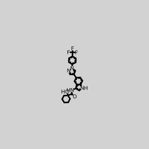 O=C(Nc1c[nH]c2ccc(-c3cnn(-c4ccc(C(F)(F)F)cc4)c3)cc12)C1(O)CCCCC1